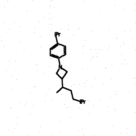 CC(C)CCC(C)C1CN(c2ccc(C(C)C)cc2)C1